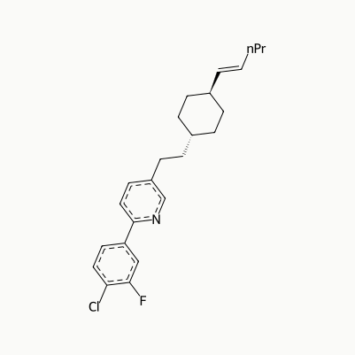 CCC/C=C/[C@H]1CC[C@H](CCc2ccc(-c3ccc(Cl)c(F)c3)nc2)CC1